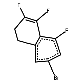 FC1=C(F)c2c(F)cc(Br)cc2CC1